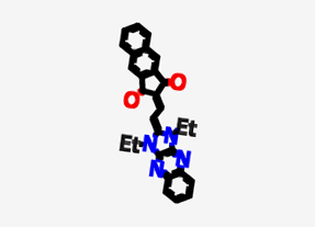 CCN1C(=CC=C2C(=O)c3cc4ccccc4cc3C2=O)N(CC)c2nc3ccccc3nc21